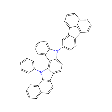 c1ccc(-n2c3c4ccccc4ccc3c3ccc4c(c5ccccc5n4-c4ccc5c(c4)-c4cccc6cccc-5c46)c32)cc1